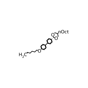 C=CCCCCOc1ccc(-c2ccc([C@H]3OC[C@H](CCCCCCCC)CO3)cc2)cc1